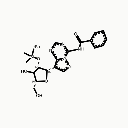 CC(C)(C)[Si](C)(C)O[C@H]1C(O)[C@@H](CO)O[C@H]1c1cnn2c(NC(=O)c3ccccc3)ncnc12